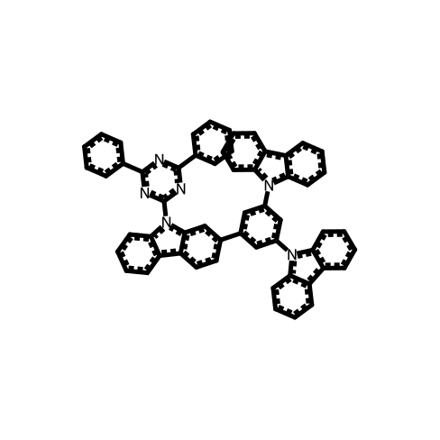 c1ccc(-c2nc(-c3ccccc3)nc(-n3c4ccccc4c4ccc(-c5cc(-n6c7ccccc7c7ccccc76)cc(-n6c7ccccc7c7ccccc76)c5)cc43)n2)cc1